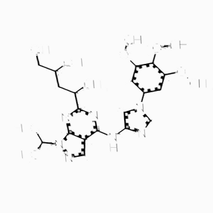 COc1cc(-n2cnc(Nc3nc(C(C)CC(O)CO)nc4c3cnn4C(C)C)c2)cc(OC)c1OC